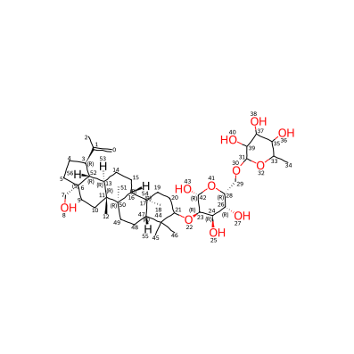 C=C(C)[C@@H]1CC[C@]2(CO)CC[C@]3(C)[C@H](CC[C@@H]4[C@@]5(C)CCC(O[C@@H]6[C@H](O)[C@@H](O)[C@@H](COC7OC(C)C(O)C(O)C7O)O[C@H]6O)C(C)(C)[C@@H]5CC[C@]43C)[C@@H]12